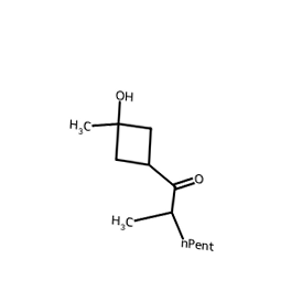 CCCCCC(C)C(=O)C1CC(C)(O)C1